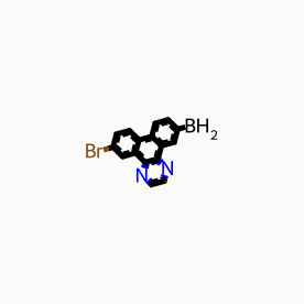 Bc1ccc2c3ccc(Br)cc3c3nccnc3c2c1